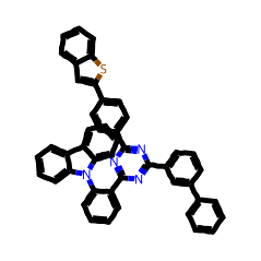 c1ccc(-c2cccc(-c3nc(-c4ccc(-c5cc6ccccc6s5)cc4)nc(-c4ccccc4-n4c5ccccc5c5ccccc54)n3)c2)cc1